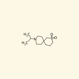 CC(C)N1CCC2(CCCS(=O)(=O)C2)CC1